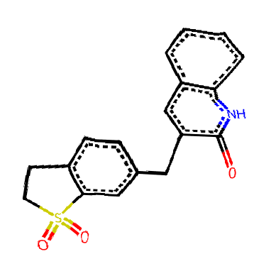 O=c1[nH]c2ccccc2cc1Cc1ccc2c(c1)S(=O)(=O)CC2